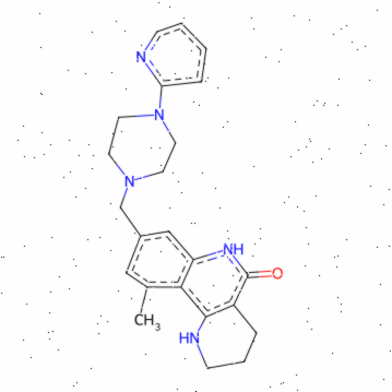 Cc1cc(CN2CCN(c3ccccn3)CC2)cc2[nH]c(=O)c3c(c12)NCCC3